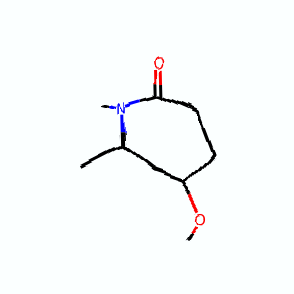 COC1CCC(=O)N(C)C(C)C1